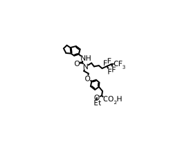 CCOC(Cc1ccc(OCCN(CCCCC(F)(F)C(F)(F)C(F)(F)F)C(=O)Nc2ccc3c(c2)CCC3)cc1)C(=O)O